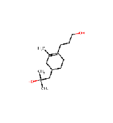 CC1=C(CCCO)CCC(CC(C)(C)O)C1